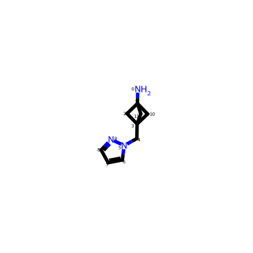 NC12CC(Cn3cccn3)(C1)C2